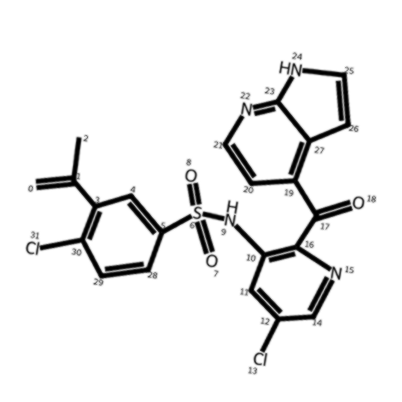 C=C(C)c1cc(S(=O)(=O)Nc2cc(Cl)cnc2C(=O)c2ccnc3[nH]ccc23)ccc1Cl